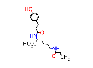 C=CC(=O)NCCCCC(NC(=O)CCc1ccc(O)cc1)C(=O)O